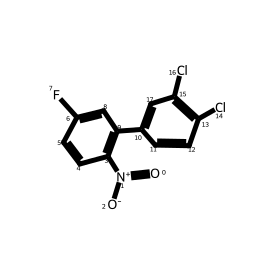 O=[N+]([O-])c1ccc(F)cc1-c1ccc(Cl)c(Cl)c1